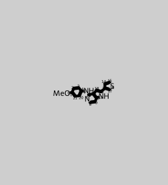 COc1ccc(Nc2nccc3[nH]c(-c4ccsc4)cc23)cc1